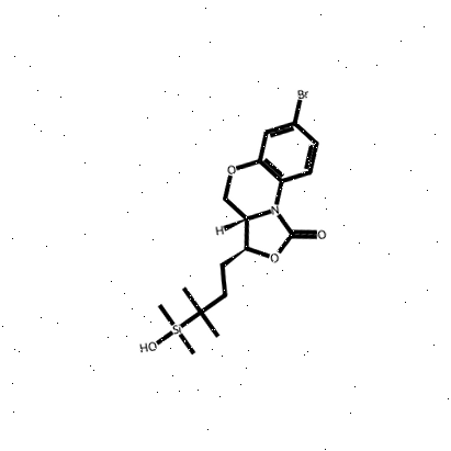 CC(C)(CC[C@@H]1OC(=O)N2c3ccc(Br)cc3OC[C@@H]12)[Si](C)(C)O